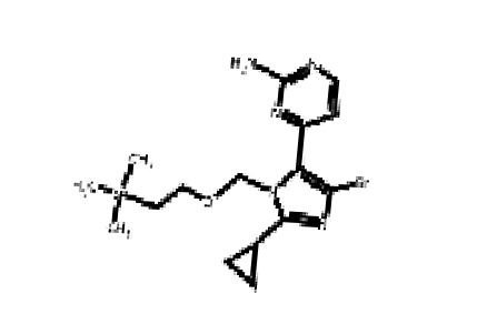 C[Si](C)(C)CCOCn1c(C2CC2)nc(Br)c1-c1ccnc(N)n1